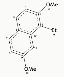 CCc1c(OC)ccc2ccc(OC)cc12